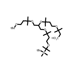 CC(C)(C)OCCC(C)(C)OCC(COC(C)(C)CCOC(C)(C)[Si](C)(C)C(C)(C)C)OC(C)(C)CCOC(C)(C)CC(=O)O